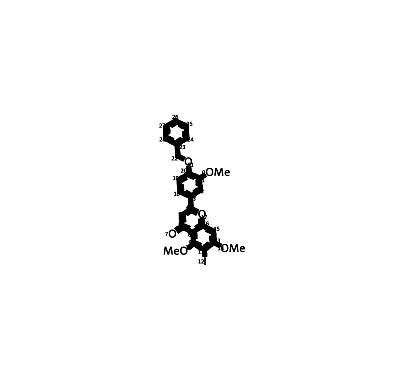 COc1cc(-c2cc(=O)c3c(OC)c(I)c(OC)cc3o2)ccc1OCc1ccccc1